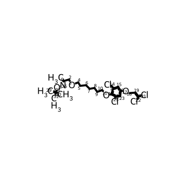 CC(COCCCCCCCOc1c(Cl)cc(OCC=C(Cl)Cl)cc1Cl)=NOC(C)(C)C